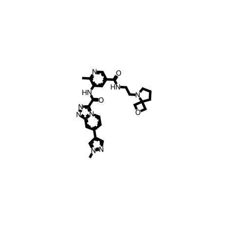 Cc1ncc(C(=O)NCCN2CCCC23COC3)cc1NC(=O)c1nnc2cc(-c3cnn(C)c3)ccn12